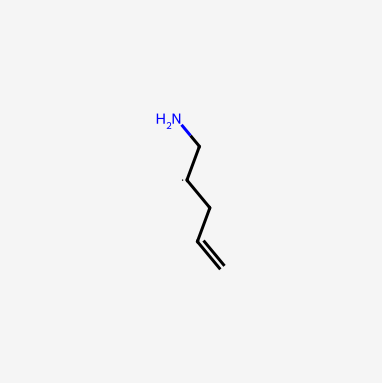 C=CC[CH]CN